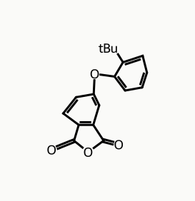 CC(C)(C)c1ccccc1Oc1ccc2c(c1)C(=O)OC2=O